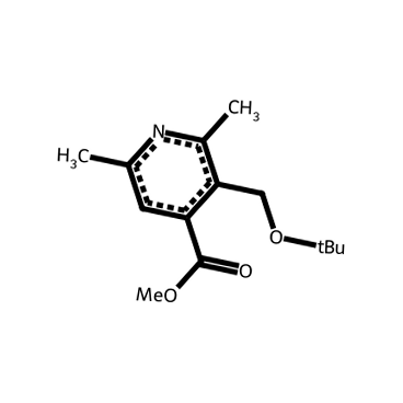 COC(=O)c1cc(C)nc(C)c1COC(C)(C)C